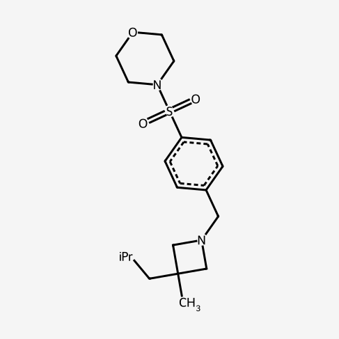 CC(C)CC1(C)CN(Cc2ccc(S(=O)(=O)N3CCOCC3)cc2)C1